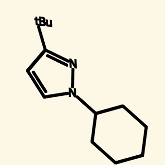 CC(C)(C)c1ccn(C2CCCCC2)n1